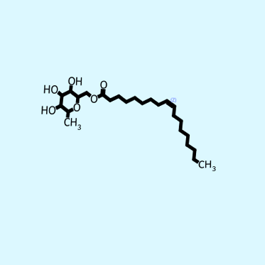 CCCCCCCC/C=C\CCCCCCCC(=O)OCC1OC(C)C(O)C(O)C1O